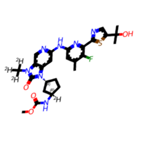 [2H]C([2H])([2H])n1c(=O)n([C@@H]2CC[C@@]([2H])(NC(=O)OC)C2)c2cc(Nc3cc(C)c(F)c(-c4ncc(C(C)(C)O)s4)n3)ncc21